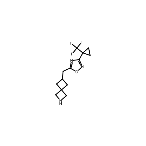 FC(F)(F)C1(c2noc(CC3CC4(CNC4)C3)n2)CC1